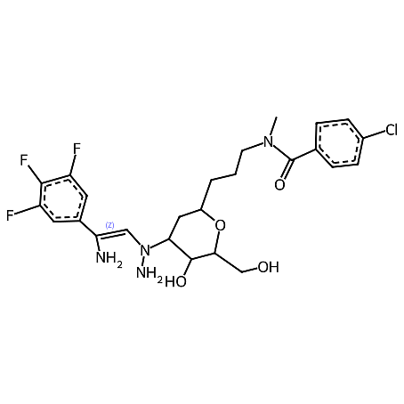 CN(CCCC1CC(N(N)/C=C(\N)c2cc(F)c(F)c(F)c2)C(O)C(CO)O1)C(=O)c1ccc(Cl)cc1